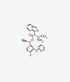 CC(C)C(C(=O)OC(C#N)c1ccc(F)c(Oc2ccccc2)c1)c1scc2ccccc12